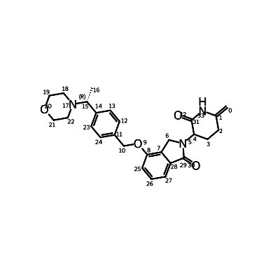 C=C1CCC(N2Cc3c(OCc4ccc([C@@H](C)N5CCOCC5)cc4)cccc3C2=O)C(=O)N1